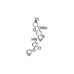 CCN1CCC(Oc2cc3c(Nc4ccc(Oc5cccnc5)c(Cl)c4)ncnc3cc2OC)CC1